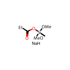 CCC(=O)O[Si](C)(OC)OC.[NaH]